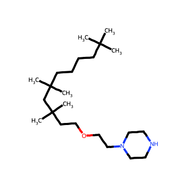 CC(C)(C)CCCCC(C)(C)CC(C)(C)CCOCCN1CCNCC1